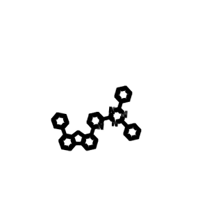 c1ccc(-c2nc(-c3ccccc3)nc(-c3cccc(-c4cccc5c4Cc4c(-c6ccccc6)cccc4-5)n3)n2)cc1